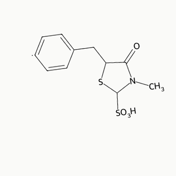 CN1C(=O)C(Cc2cc[c]cc2)SC1S(=O)(=O)O